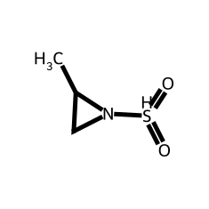 CC1CN1[SH](=O)=O